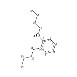 CCCCOc1c[c]ccc1CCCC